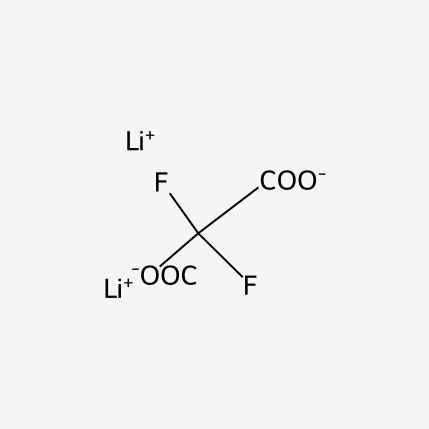 O=C([O-])C(F)(F)C(=O)[O-].[Li+].[Li+]